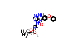 CC(C)(C)OC(=O)N1CC(n2c(=O)n(-c3ccc(Oc4ccccc4)cc3)c3c(N)ncnc32)C1